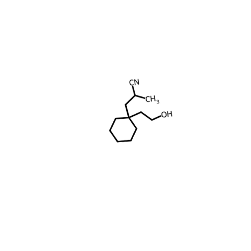 CC(C#N)CC1(CCO)CCCCC1